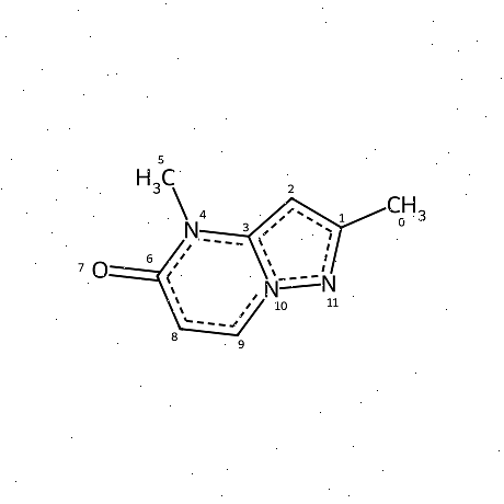 Cc1cc2n(C)c(=O)ccn2n1